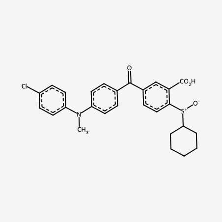 CN(c1ccc(Cl)cc1)c1ccc(C(=O)c2ccc([S+]([O-])C3CCCCC3)c(C(=O)O)c2)cc1